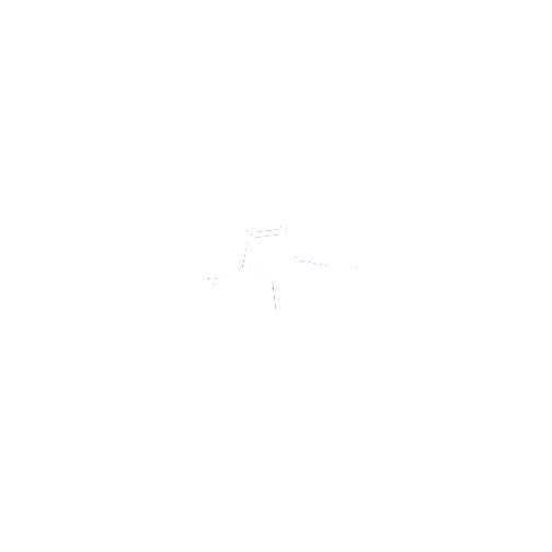 CCCCCCn1nnc([N+](=O)[O-])c1C(F)(F)F